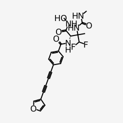 CNC(=O)NC(C)(C(F)F)[C@H](NC(=O)c1ccc(C#CC#Cc2ccoc2)cc1)C(=O)NO